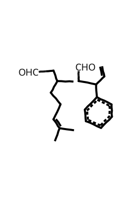 C=CC(CC=O)c1ccccc1.CC(C)=CCCC(C)CC=O